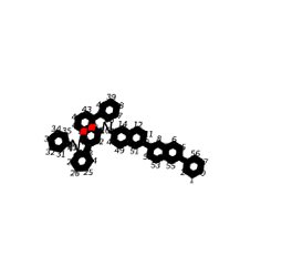 c1ccc(-c2ccc3cc(-c4ccc5cc(N(c6ccc7c(c6)c6ccccc6n7-c6ccccc6)c6ccccc6-c6ccccc6)ccc5c4)ccc3c2)cc1